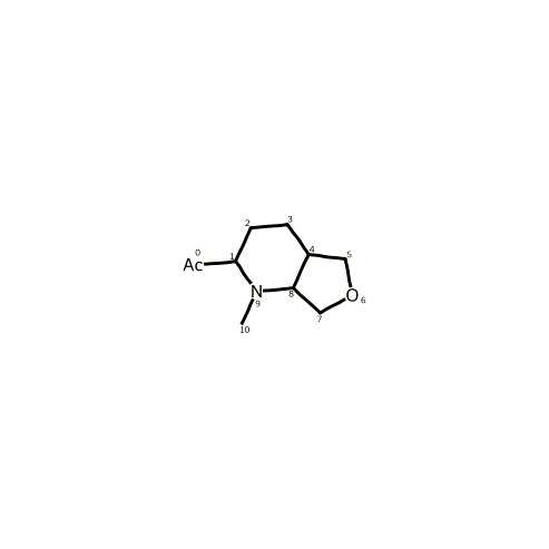 CC(=O)C1CCC2COCC2N1C